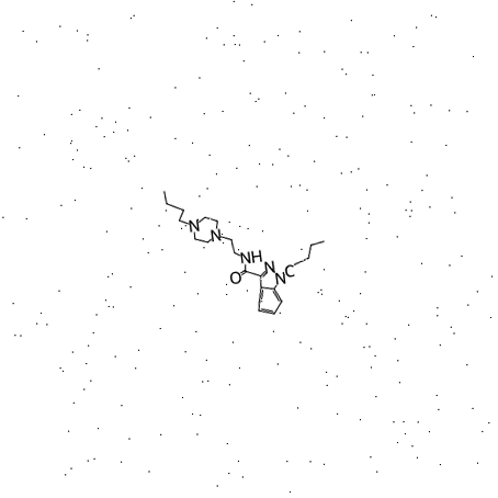 CCCCCn1nc(C(=O)NCCN2CCN(CCCC)CC2)c2ccccc21